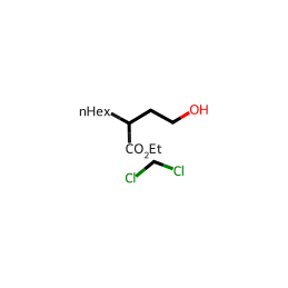 CCCCCCC(CCO)C(=O)OCC.ClCCl